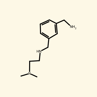 CN(C)CCNCc1cccc(CN)c1